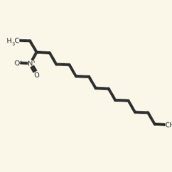 CCCCCCCCCCCCCC(CC)[N+](=O)[O-]